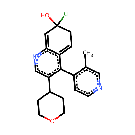 Cc1cnccc1-c1c(C2CCOCC2)cnc2c1=CCC(O)(Cl)C=2